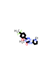 CCN1CCC[C@@H](Nc2nnc(-c3ccc(C(C)(F)F)cc3O)n(C)c2=O)C1